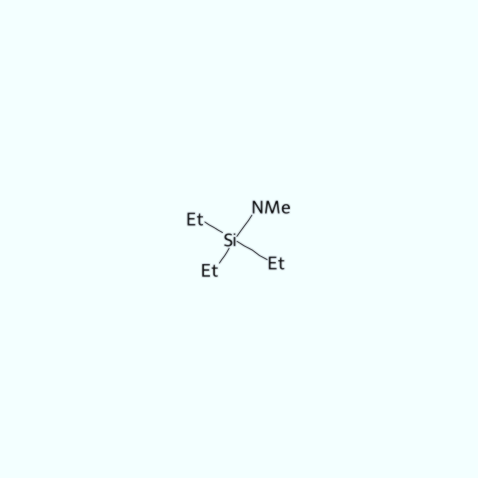 CC[Si](CC)(CC)NC